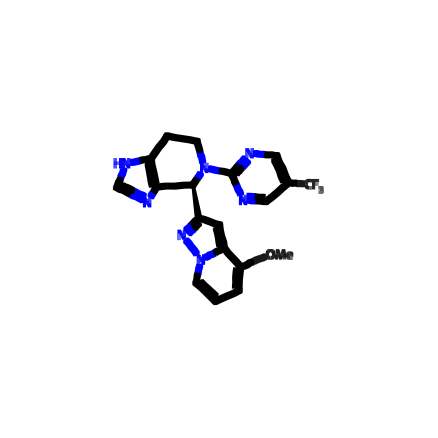 COc1cccn2nc([C@H]3c4nc[nH]c4CCN3c3ncc(C(F)(F)F)cn3)cc12